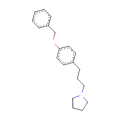 c1ccc(COc2ccc(CCCN3CCCC3)cc2)cc1